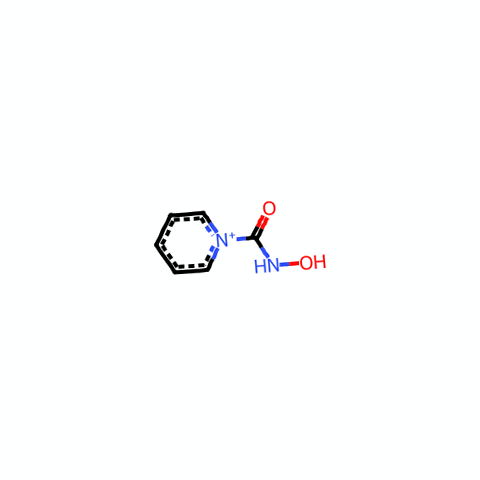 O=C(NO)[n+]1ccccc1